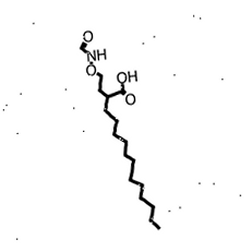 CCCCCCCCCCCCC(CCONC=O)C(=O)O